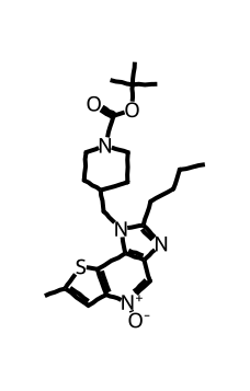 CCCCc1nc2c[n+]([O-])c3cc(C)sc3c2n1CC1CCN(C(=O)OC(C)(C)C)CC1